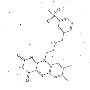 Cc1cc2nc3c(=O)[nH]c(=O)nc-3n(CCNCc3cccc(S(C)(=O)=O)c3)c2cc1C